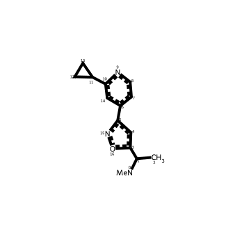 CNC(C)c1cc(-c2ccnc(C3CC3)c2)no1